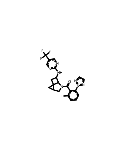 O=C(c1c(F)cccc1-n1nccn1)N1CC2CC23CC(Nc2ncc(C(F)(F)F)cn2)C13